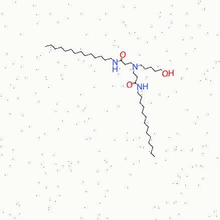 CCCCCCCCCCCCCCNC(=O)CCN(CCCCCO)CCC(=O)NCCCCCCCCCCCCCC